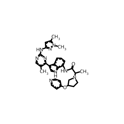 Cc1cnc(Nc2cc(C)n(C)n2)nc1-c1c[nH]c2c(NC(=O)C(C)N3CCC(Oc4ccncc4)C3)cccc12